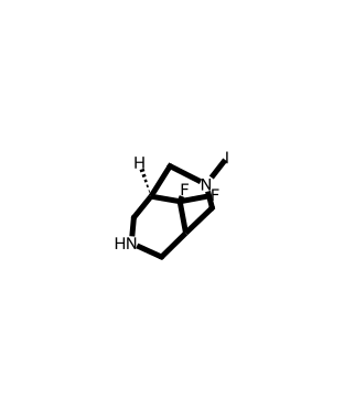 FC1(F)C2CNC[C@H]1CN(I)C2